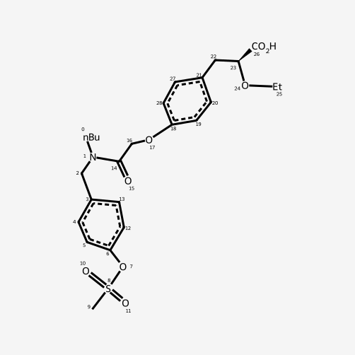 CCCCN(Cc1ccc(OS(C)(=O)=O)cc1)C(=O)COc1ccc(C[C@H](OCC)C(=O)O)cc1